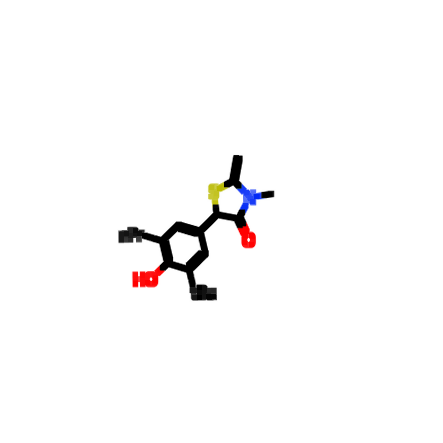 C=C1SC(c2cc(CCC)c(O)c(C(C)(C)C)c2)C(=O)N1C